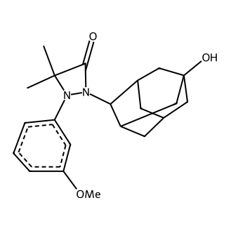 COc1cccc(N2N(C3C4CC5CC3CC(O)(C5)C4)C(=O)C2(C)C)c1